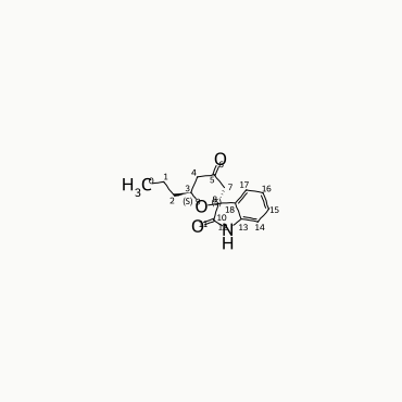 CCC[C@H]1CC(=O)C[C@@]2(O1)C(=O)Nc1ccccc12